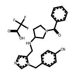 N#Cc1ccc(Cn2cncc2CNC2CCN(C(=O)c3ccccc3)C2)cc1.O=C(O)C(F)(F)F